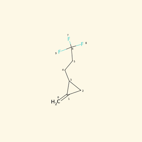 C=C1CC1CCC(F)(F)F